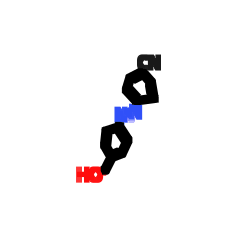 N#Cc1ccc(/N=N/c2ccc(CO)cc2)cc1